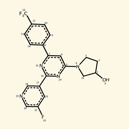 OC1CCN(c2cc(-c3ccc(C(F)(F)F)cc3)nc(-c3cncc(F)c3)n2)C1